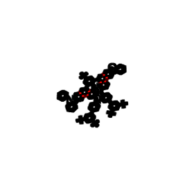 CC(C)(C)c1cc(-c2ccc(N3c4cc(-c5cc(C(C)(C)C)cc(C(C)(C)C)c5)ccc4B4c5ccc(-c6ccc7oc8ccccc8c7c6)cc5N(c5c(-c6ccccc6)cc(C(C)(C)C)cc5-c5ccccc5)c5cc(-c6ccc7c(c6)c6ccccc6n7-c6ccccc6)cc3c54)cc2)cc(C(C)(C)C)c1